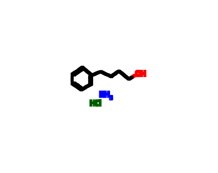 Cl.N.OCCCCc1ccccc1